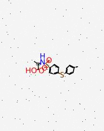 Cc1ccc(Sc2ccc(S(=O)(=O)N[C@H](C)C(=O)O)cc2)cc1